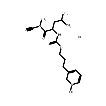 CC(C)CC(NC(=O)OCCCC1=CC=CN(C)C1)C(=O)N(C)C#N.I